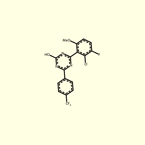 COc1ccc(F)c(Cl)c1-c1nc(O)nc(-c2ccc(C(F)(F)F)cc2)n1